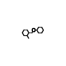 CC1CCCCC1COC1CCCCC1